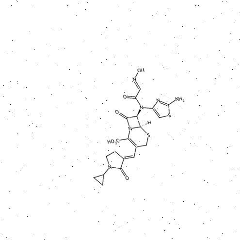 Nc1nc(N(C(=O)C=NO)[C@@H]2C(=O)N3C(C(=O)O)=C(C=C4CCN(C5CC5)C4=O)CS[C@H]23)cs1